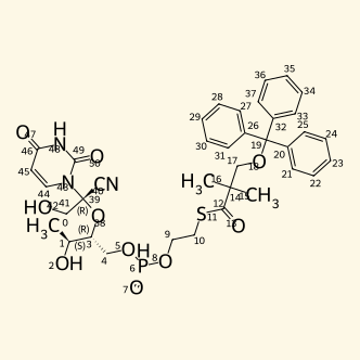 C[C@H](O)[C@@H](CO[PH](=O)OCCSC(=O)C(C)(C)COC(c1ccccc1)(c1ccccc1)c1ccccc1)O[C@](C#N)(CO)n1ccc(=O)[nH]c1=O